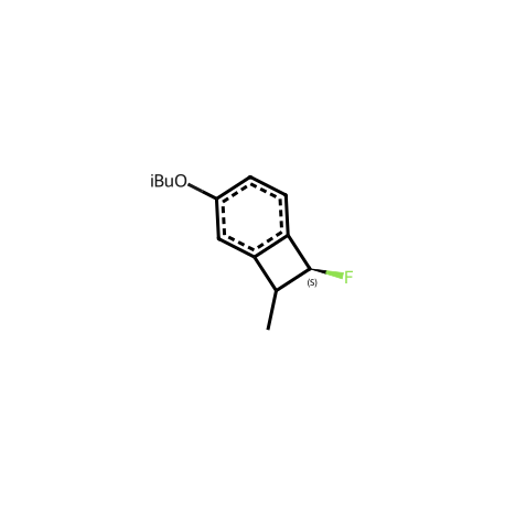 CC(C)COc1ccc2c(c1)C(C)[C@@H]2F